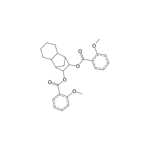 COc1ccccc1C(=O)OC1C2CC(C3CCCCC32)C1OC(=O)c1ccccc1OC